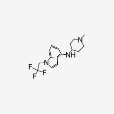 CN1CCC(Nc2cccc3c2ccn3CC(F)(F)F)CC1